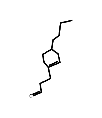 CCCCC1CC=C(CCC=O)CC1